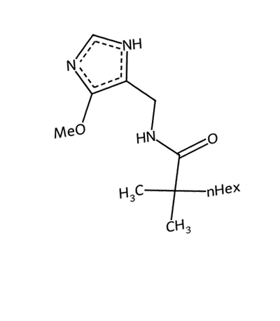 CCCCCCC(C)(C)C(=O)NCc1[nH]cnc1OC